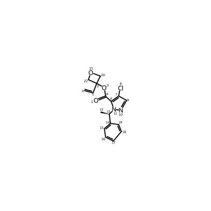 C=CC1(OC(=O)c2c(Cl)cnn2[C@H](C)c2ccccc2)COC1